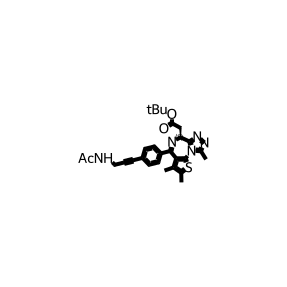 CC(=O)NCC#Cc1ccc(C2=N[C@@H](CC(=O)OC(C)(C)C)c3nnc(C)n3-c3sc(C)c(C)c32)cc1